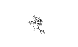 CS1(C)(C)(C)CCC(P)N1